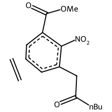 C=C.CCCCC(=O)Cc1cccc(C(=O)OC)c1[N+](=O)[O-]